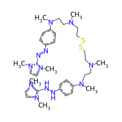 CN(CCSSCCN(C)CCN(C)c1ccc(NNc2n(C)cc[n+]2C)cc1)CCN(C)c1ccc(/N=N/c2n(C)cc[n+]2C)cc1